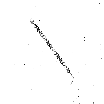 CCCCCCCC/C=C\CCCCCCCCOCCOCCOCCOCCOCCOCCOCCOCCOCCOCCOCCOCCOCCOCCOCCOCCOCCOCCOCCOCCOC(=O)CCN1CC[N+](C)(CCCC)CC1